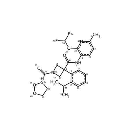 Cc1ccc(NC(=O)C2(c3ccccc3C(C)C)CN(C(=O)[SH]3CCOO3)C2)c(OC(F)F)n1